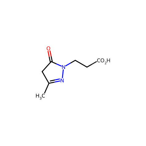 CC1=NN(CCC(=O)O)C(=O)C1